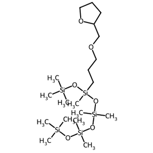 C[Si](C)(C)O[Si](C)(C)O[Si](C)(C)O[Si](C)(CCCOCC1CCCO1)O[Si](C)(C)C